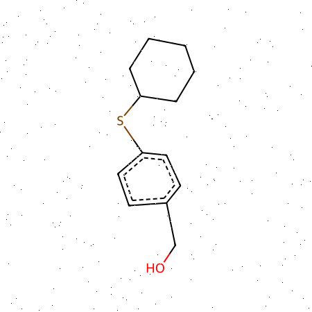 OCc1ccc(SC2CCCCC2)cc1